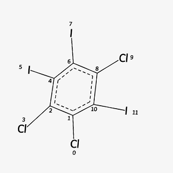 Clc1c(Cl)c(I)c(I)c(Cl)c1I